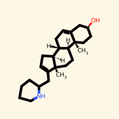 C[C@]12CC[C@H](O)CC1=CC[C@@H]1[C@@H]2CC[C@]2(C)C(CC3CCCCN3)=CC[C@@H]12